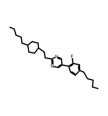 CCCCCc1ccc(-c2cnc(CCC3CCC(CCCCC)CC3)nc2)c(F)c1